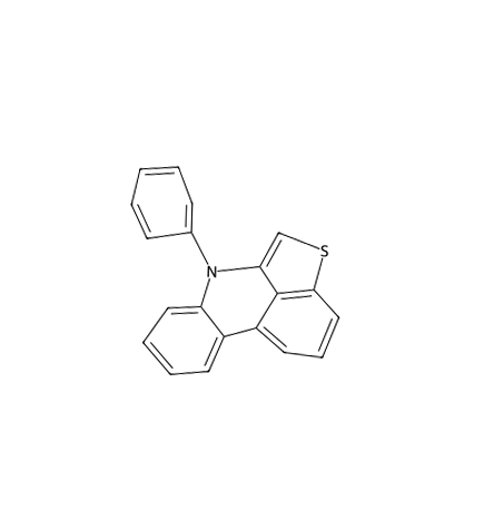 c1ccc(N2c3ccccc3-c3cccc4scc2c34)cc1